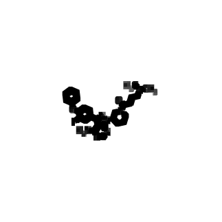 CN(C)CC=CC(=O)N1CCC[C@@H](n2nc(-c3ccc(Oc4ccccc4)c(F)c3)c3c(N)ncnc32)C1